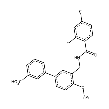 CCCOc1ccc(-c2cccc(C(=O)O)c2)cc1CNC(=O)c1ccc(Cl)cc1F